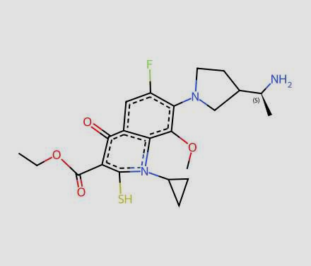 CCOC(=O)c1c(S)n(C2CC2)c2c(OC)c(N3CCC([C@H](C)N)C3)c(F)cc2c1=O